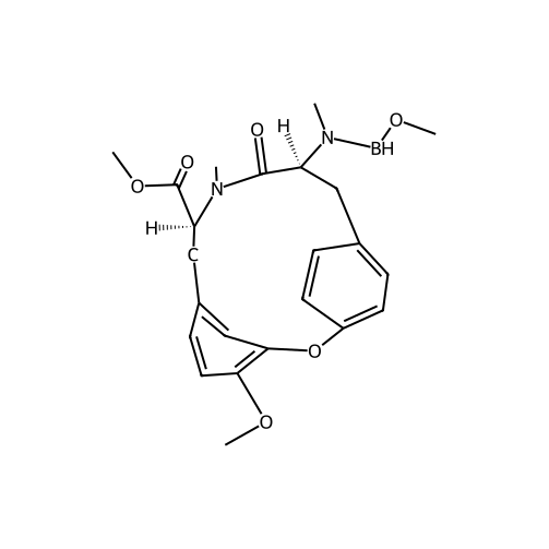 COBN(C)[C@H]1Cc2ccc(cc2)Oc2cc(ccc2OC)C[C@@H](C(=O)OC)N(C)C1=O